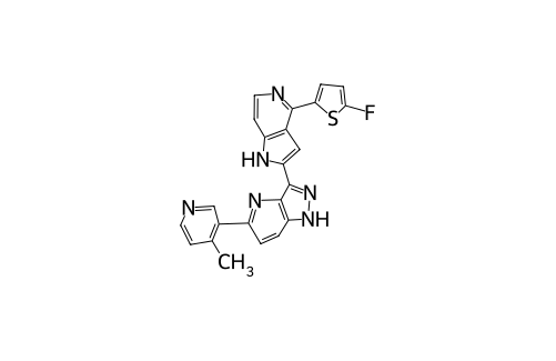 Cc1ccncc1-c1ccc2[nH]nc(-c3cc4c(-c5ccc(F)s5)nccc4[nH]3)c2n1